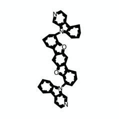 c1cc(-n2c3ccccc3c3ccncc32)c2oc3cc4c(cc3c2c1)oc1c(-n2c3ccccc3c3ccncc32)cccc14